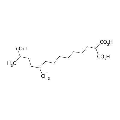 CCCCCCCCC(C)CCC(C)CCCCCCCC(C(=O)O)C(=O)O